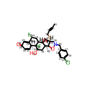 CC#CCSC(=O)[C@@]12ON(Cc3ccc(Cl)cc3)C[C@@H]1C[C@H]1[C@@H]3C[C@H](F)C4=CC(=O)C=C[C@]4(C)[C@@]3(F)[C@@H](O)C[C@@]12C